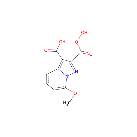 COc1cccc2c(C(=O)O)c(C(=O)OO)nn12